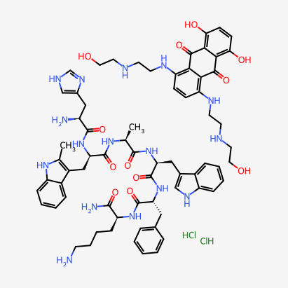 Cc1[nH]c2ccccc2c1C[C@@H](NC(=O)[C@@H](N)Cc1c[nH]cn1)C(=O)N[C@@H](C)C(=O)N[C@@H](Cc1c[nH]c2ccccc12)C(=O)N[C@H](Cc1ccccc1)C(=O)N[C@@H](CCCCN)C(N)=O.Cl.Cl.O=C1c2c(O)ccc(O)c2C(=O)c2c(NCCNCCO)ccc(NCCNCCO)c21